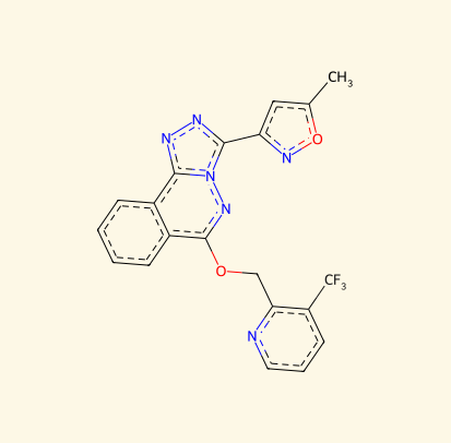 Cc1cc(-c2nnc3c4ccccc4c(OCc4ncccc4C(F)(F)F)nn23)no1